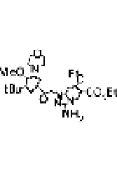 CCOC(=O)c1cn2c(N)n[n+](CC(=O)c3cc(N4CCOCC4)c(OC)c(C(C)(C)C)c3)c2cc1OCC